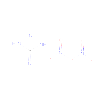 N.N=C(N)N.O=[N+]([O-])O[N+](=O)[O-]